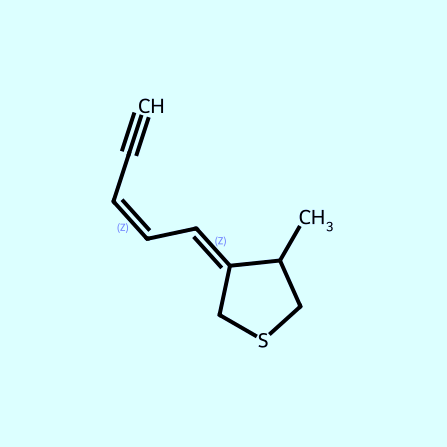 C#C/C=C\C=C1/CSCC1C